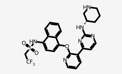 O=S(=O)(CC(F)(F)F)Nc1ccc(Oc2ncccc2-c2ccnc(N[C@H]3CCCNC3)n2)c2ccccc12